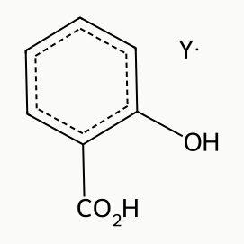 O=C(O)c1ccccc1O.[Y]